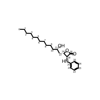 CCCCCCCCCCC[C@H](O)C[C@@H]1OC(=O)[C@H]1Nc1ccccc1